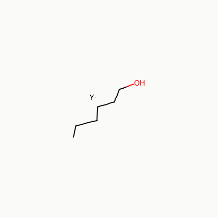 CCCCCCO.[Y]